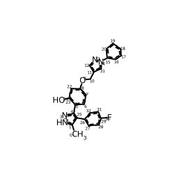 Cc1[nH]nc(-c2ccc(OCc3cnn(-c4ccccc4)c3)cc2O)c1-c1ccc(F)cc1